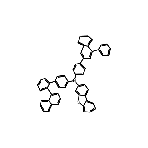 c1ccc(-c2cc(-c3ccc(N(c4ccc(-c5ccccc5-c5cccc6ccccc56)cc4)c4ccc5c(c4)oc4ccccc45)cc3)cc3ccccc23)cc1